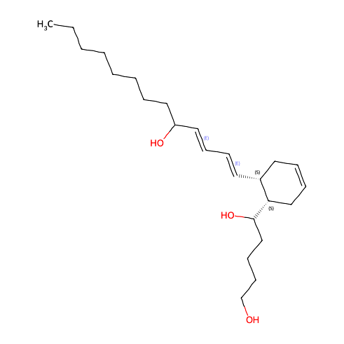 CCCCCCCCC(O)/C=C/C=C/[C@@H]1CC=CC[C@@H]1C(O)CCCCO